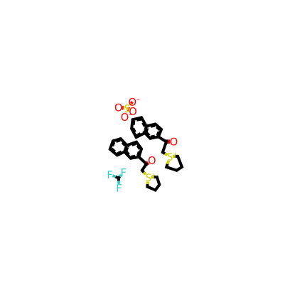 FC(F)F.O=C(C[S+]1CCCC1)c1ccc2ccccc2c1.O=C(C[S+]1CCCC1)c1ccc2ccccc2c1.O=S(=O)([O-])[O-]